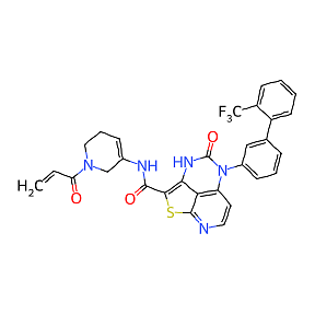 C=CC(=O)N1CCC=C(NC(=O)c2sc3nccc4c3c2NC(=O)N4c2cccc(-c3ccccc3C(F)(F)F)c2)C1